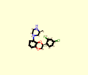 C[C@H]1CN(c2cccc3c2O[C@@H](c2ccc(Cl)cc2F)CO3)CCN1